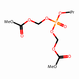 COC(=O)OCOP(=O)(OCOC(=O)OC)OC(C)C